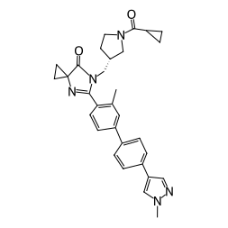 Cc1cc(-c2ccc(-c3cnn(C)c3)cc2)ccc1C1=NC2(CC2)C(=O)N1C[C@@H]1CCN(C(=O)C2CC2)C1